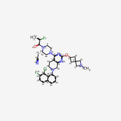 C=C(F)C(=O)N1CCN(c2nc(OC3CC4(C3)CN(C)C4)nc3c2CCN(c2cccc4ccc(F)c(Cl)c24)C3)C[C@@H]1CC#N